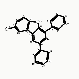 Clc1ccc2oc3c(-c4ccccc4)cc(-c4ccccc4)cc3c2c1